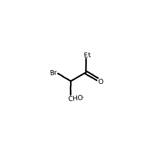 CCC(=O)C(Br)[C]=O